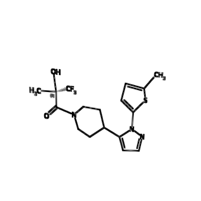 Cc1ccc(-n2nccc2C2CCN(C(=O)[C@@](C)(O)C(F)(F)F)CC2)s1